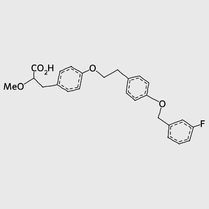 COC(Cc1ccc(OCCc2ccc(OCc3cccc(F)c3)cc2)cc1)C(=O)O